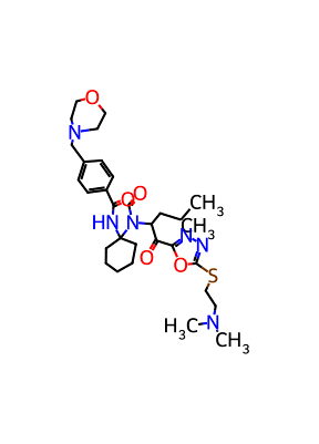 CC(C)CC(C(=O)c1nnc(SCCN(C)C)o1)N(C=O)C1(NC(=O)c2ccc(CN3CCOCC3)cc2)CCCCC1